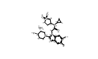 N[C@@H]1CN(c2nc3cc(F)c(F)cc3n2CC(=O)N(C2CC2)C2CCS(=O)(=O)C2)CC[C@H]1F